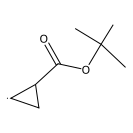 CC(C)(C)OC(=O)C1[CH]C1